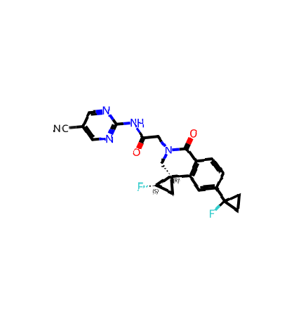 N#Cc1cnc(NC(=O)CN2C[C@@]3(C[C@@H]3F)c3cc(C4(F)CC4)ccc3C2=O)nc1